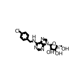 OC[C@H]1O[C@@H](n2cnc3c(NCc4ccc(Cl)cc4)ncnc32)[C@@H](O)[C@@H]1O